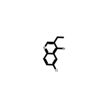 CCc1cnc2ccc(Cl)cc2c1Br